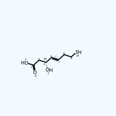 O=C(O)C[C@@H](O)/C=C/CCS